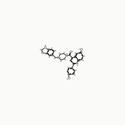 O=C(c1cc(-c2ccc(Cl)cc2)nc2ccc(Cl)cc12)N1CCN(Cc2ccc3c(c2)OCO3)CC1